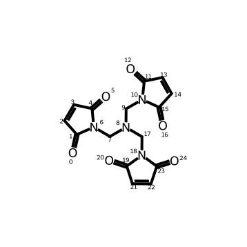 O=C1C=CC(=O)N1CN(CN1C(=O)C=CC1=O)CN1C(=O)C=CC1=O